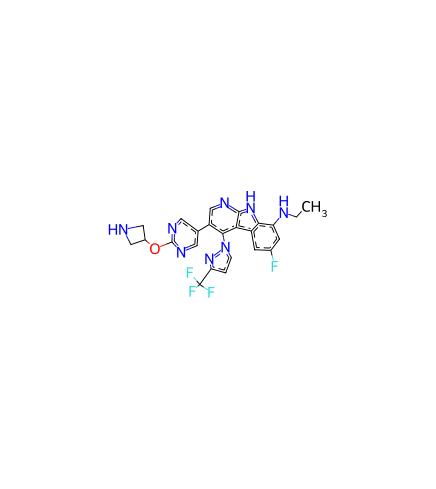 CCNc1cc(F)cc2c1[nH]c1ncc(-c3cnc(OC4CNC4)nc3)c(-n3ccc(C(F)(F)F)n3)c12